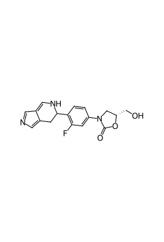 O=C1O[C@@H](CO)CN1c1ccc(C2CC3=CN=CC3=CN2)c(F)c1